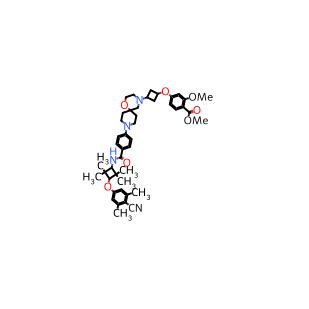 COC(=O)c1ccc(OC2CC(N3CCOC4(CCN(c5ccc(C(=O)NC6C(C)(C)C(Oc7cc(C)c(C#N)c(C)c7)C6(C)C)cc5)CC4)C3)C2)cc1OC